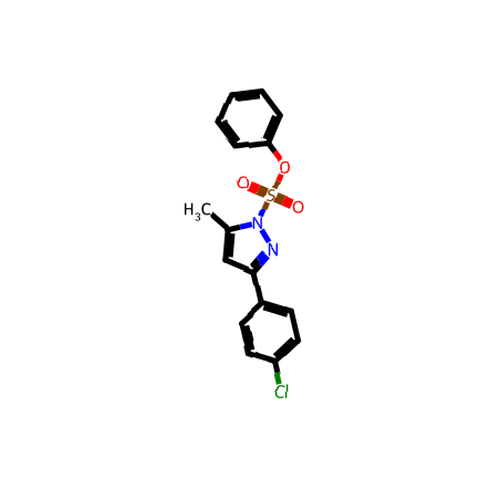 Cc1cc(-c2ccc(Cl)cc2)nn1S(=O)(=O)Oc1ccccc1